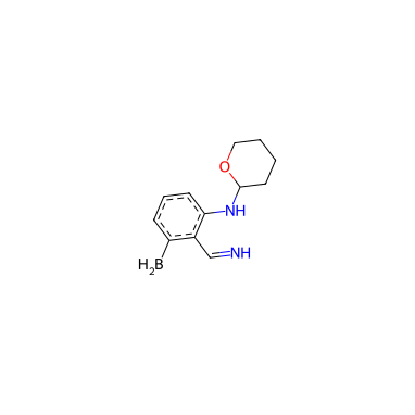 Bc1cccc(NC2CCCCO2)c1C=N